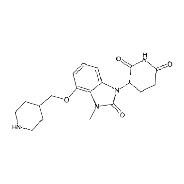 Cn1c(=O)n(C2CCC(=O)NC2=O)c2cccc(OCC3CCNCC3)c21